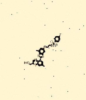 Cc1cc(-c2nc3c(C)cc(OCCNS(=O)(=O)c4ccc(F)cc4)cc3s2)c2ncc(CO)nc2c1